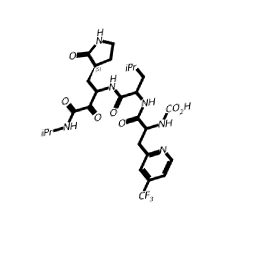 CC(C)CC(NC(=O)C(Cc1cc(C(F)(F)F)ccn1)NC(=O)O)C(=O)NC(C[C@@H]1CCNC1=O)C(=O)C(=O)NC(C)C